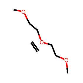 C=C.COCCOCCOC